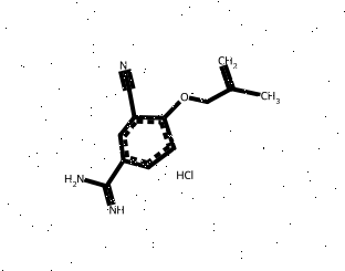 C=C(C)COc1ccc(C(=N)N)cc1C#N.Cl